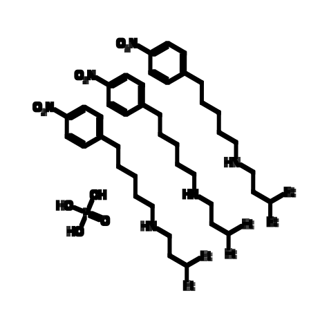 CCC(CC)CCNCCCCCc1ccc([N+](=O)[O-])cc1.CCC(CC)CCNCCCCCc1ccc([N+](=O)[O-])cc1.CCC(CC)CCNCCCCCc1ccc([N+](=O)[O-])cc1.O=P(O)(O)O